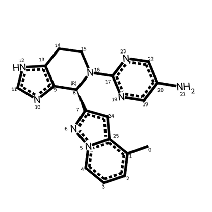 Cc1cccn2nc([C@H]3c4nc[nH]c4CCN3c3ncc(N)cn3)cc12